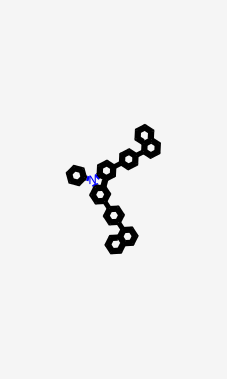 c1ccc(-n2c3ccc(-c4ccc(-c5cccc6ccccc56)cc4)cc3c3cc(-c4ccc(-c5cccc6ccccc56)cc4)ccc32)cc1